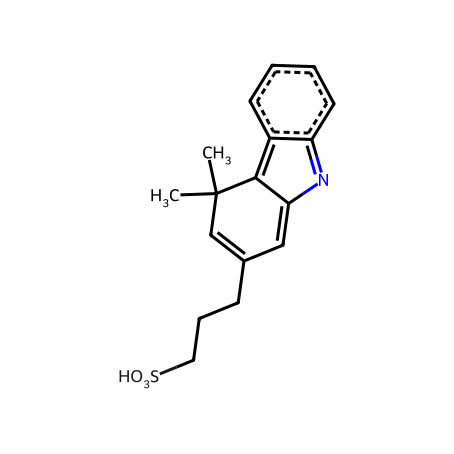 CC1(C)C=C(CCCS(=O)(=O)O)C=C2N=c3ccccc3=C21